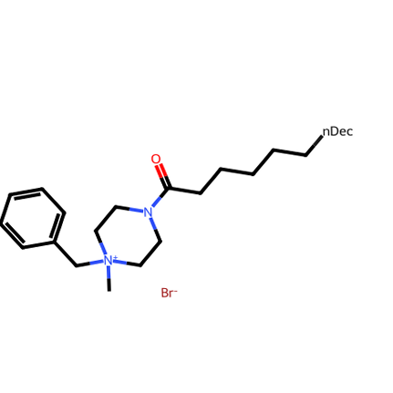 CCCCCCCCCCCCCCCC(=O)N1CC[N+](C)(Cc2ccccc2)CC1.[Br-]